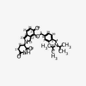 CC(C)N(Cc1ccc(COC2=C3CN(C4CCC(=O)NC4=O)C=C3C=CC2=O)cc1)C(C)C